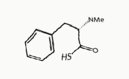 CN[C@@H](Cc1ccccc1)C(=O)S